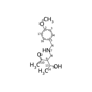 COc1ccc(CNCC(C(C)=O)C(C)O)cc1